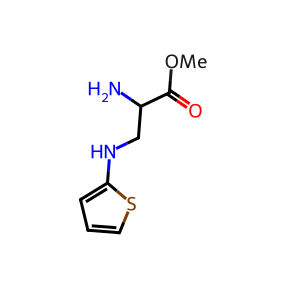 COC(=O)C(N)CNc1cccs1